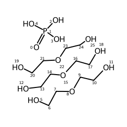 O=P(O)(O)O.OCCOCCO.OCCOCCO.OCCOCCO